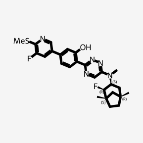 CSc1ncc(-c2ccc(-c3ncc(N(C)[C@H]4C[C@]5(C)CC[C@@](C)(C5)[C@H]4F)nn3)c(O)c2)cc1F